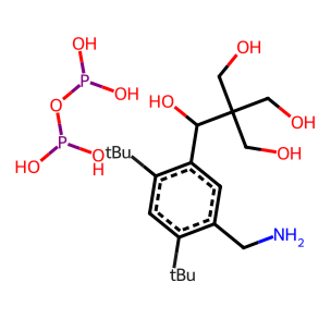 CC(C)(C)c1cc(C(C)(C)C)c(C(O)C(CO)(CO)CO)cc1CN.OP(O)OP(O)O